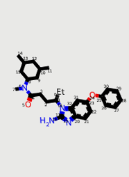 CCC(CCC(=O)N(C)C1CC(C)CC(C)C1)n1c(N)nc2ccc(Oc3ccccc3)cc21